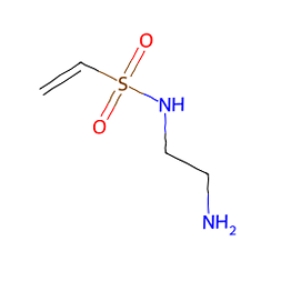 C=CS(=O)(=O)NCCN